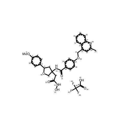 COc1ccc(C2CC(CC(=O)NO)(NC(=O)c3ccc(OCc4cc(C)nc5ccccc45)cc3)CO2)cc1.O=C(O)C(F)(F)F